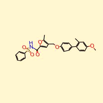 COc1ccc(-c2ccc(OCc3cc(C(=O)NS(=O)(=O)c4ccccc4)oc3C)cc2)c(C)c1